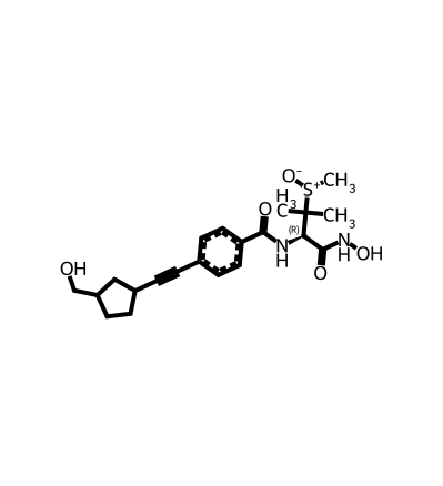 C[S+]([O-])C(C)(C)[C@H](NC(=O)c1ccc(C#CC2CCC(CO)C2)cc1)C(=O)NO